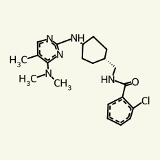 Cc1cnc(N[C@H]2CC[C@@H](CNC(=O)c3ccccc3Cl)CC2)nc1N(C)C